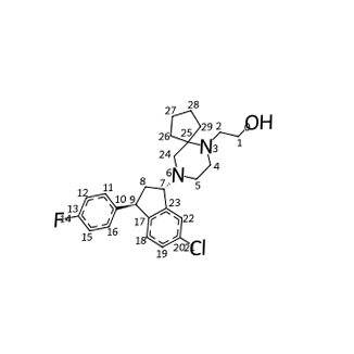 OCCN1CCN([C@H]2C[C@H](c3ccc(F)cc3)c3ccc(Cl)cc32)CC12CCCC2